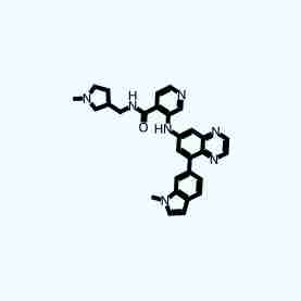 CN1CCC(CNC(=O)c2ccncc2Nc2cc(-c3ccc4ccn(C)c4c3)c3nccnc3c2)C1